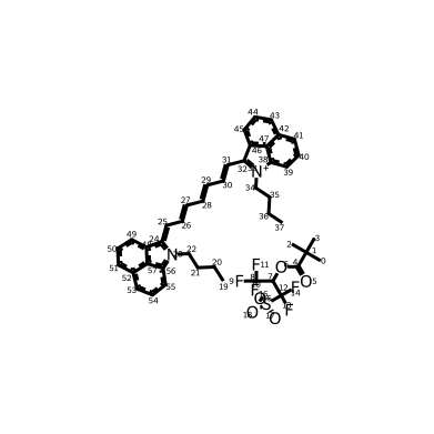 CC(C)(C)C(=O)OC(C(F)(F)F)C(F)(F)S(=O)(=O)[O-].CCCCn1\c(=C/C=C/C=C/C=C/C2=[N+](CCCC)c3cccc4cccc2c34)c2cccc3cccc1c32